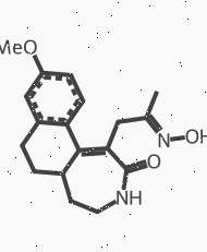 COc1ccc2c(c1)CCC1CCNC(=O)C(CC(C)=NO)=C21